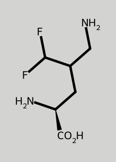 NCC(C[C@H](N)C(=O)O)C(F)F